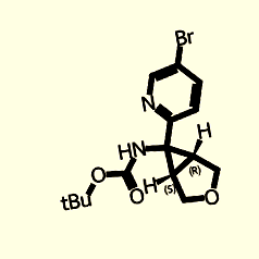 CC(C)(C)OC(=O)NC1(c2ccc(Br)cn2)[C@@H]2COC[C@@H]21